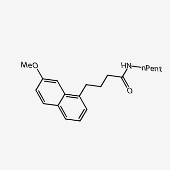 CCCCCNC(=O)CCCc1cccc2ccc(OC)cc12